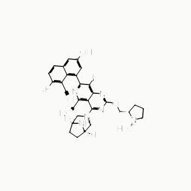 C#Cc1c(F)ccc2cc(O)cc(-c3nc(C#C)c4c(N5C[C@H]6CC[C@@H](C5)N6)nc(OC[C@H]5CCCN5C)nc4c3F)c12